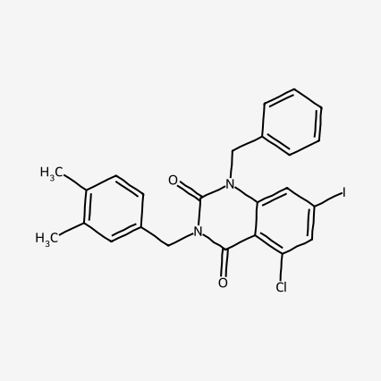 Cc1ccc(Cn2c(=O)c3c(Cl)cc(I)cc3n(Cc3ccccc3)c2=O)cc1C